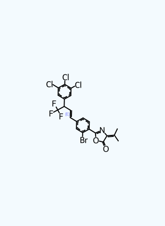 CC(C)=C1N=C(c2ccc(/C=C/C(c3cc(Cl)c(Cl)c(Cl)c3)C(F)(F)F)cc2Br)OC1=O